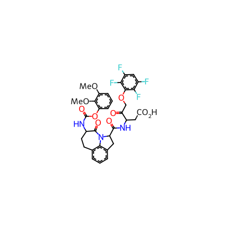 COc1cccc(OC(=O)NC2CCc3cccc4c3N(C2=O)C(C(=O)NC(CC(=O)O)C(=O)COc2c(F)c(F)cc(F)c2F)C4)c1OC